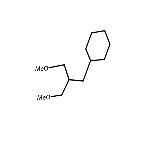 COCC(COC)CC1CCCCC1